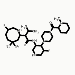 CCCC1(CC)CCC(F)CNC(C(C(=O)NC2CNCC(F)C2N2CCN(C(=O)C3CCCCN3C)CC2)C(N)N)C1